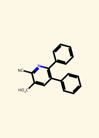 N#Cc1nc(-c2ccccc2)c(-c2ccccc2)cc1C(=O)O